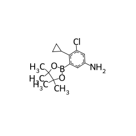 CC1(C)OB(c2cc(N)cc(Cl)c2C2CC2)OC1(C)C